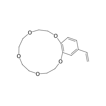 C=Cc1ccc2c(c1)OCCOCCOCCOCCO2